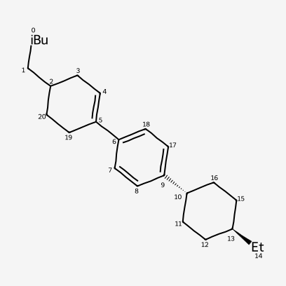 CCC(C)CC1CC=C(c2ccc([C@H]3CC[C@H](CC)CC3)cc2)CC1